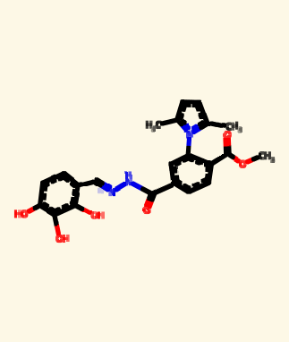 COC(=O)c1ccc(C(=O)N/N=C/c2ccc(O)c(O)c2O)cc1-n1c(C)ccc1C